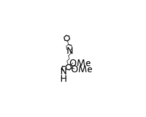 COc1cc2[nH]ccc2c(CCCCN2CC=C(c3ccccc3)CC2)c1OC